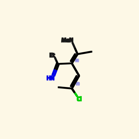 CCC(=N)C(/C=C(\C)Cl)=C(/C)NC